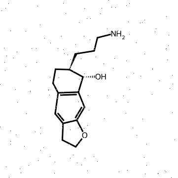 NCCC[C@@H]1CCc2cc3c(cc2[C@H]1O)OCC3